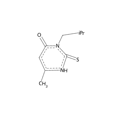 Cc1cc(=O)n(CC(C)C)c(=S)[nH]1